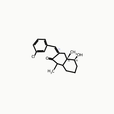 CC1C(=O)/C(=C\c2cccc(Cl)c2)C[C@@]2(C)C1CCC[C@@H]2O